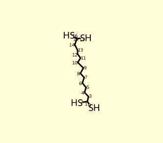 SC(S)CCCCCCCCCCCCC(S)S